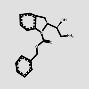 NC[C@H](O)[C@@H]1Cc2ccccc2N1C(=O)OCc1ccccc1